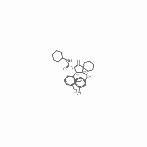 O=C(NC1CCCCC1)[C@@H]1NC2(CCCCC2)[C@@]2(C(=O)Nc3cc(Cl)ccc32)[C@H]1c1cccc(Cl)c1F